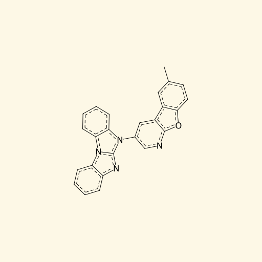 Cc1ccc2oc3ncc(-n4c5ccccc5n5c6ccccc6nc45)cc3c2c1